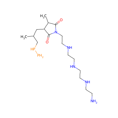 CC(CPP)CC1C(=O)N(CCNCCNCCNCCN)C(=O)C1C